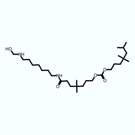 CC(C)CC(C)(C)CCCOC(=O)OCCCC(C)(C)CCC(=O)NCCCCCCCNCO